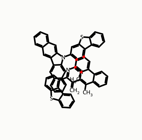 C=c1c(-c2cccc3sc4ccccc4c23)nc(-c2cc3c(cc2-n2c4cc5ccccc5cc4c4cc5ccccc5cc42)sc2ccccc23)n/c1=C(/C)c1ccccc1-c1ccccc1C